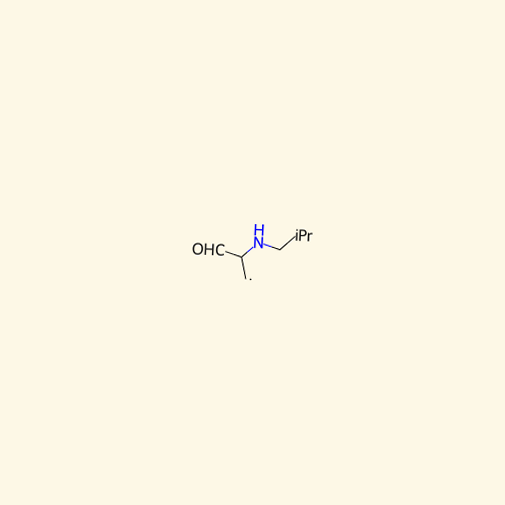 [CH2]C(C=O)NCC(C)C